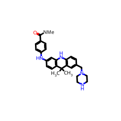 CNC(=O)c1ccc(Nc2ccc3c(c2)Nc2ccc(CN4CCNCC4)cc2C3(C)C)cc1